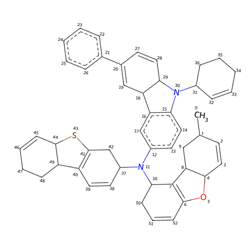 CC1C=CC2OC3=C(C2C1)C(N(c1ccc2c(c1)C1C=C(c4ccccc4)C=CC1N2C1C=CCCC1)C1C=CC2=C(C1)SC1C=CCCC21)CC=C3